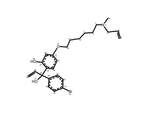 C=CCN(C)CCCCCCOc1ccc(C(O)(C=C)c2ccc(Br)cc2)c(O)c1